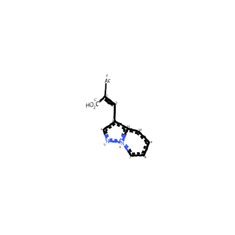 CC(=O)/C(=C/c1cnn2ccccc12)C(=O)O